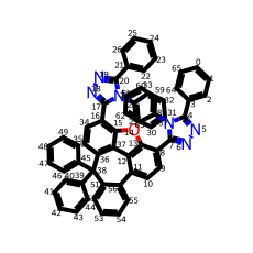 c1ccc(-c2nnc(-c3ccc4c5c3oc3c(-c6nnc(-c7ccccc7)n6-c6ccccc6)ccc(c35)C(c3ccccc3)(c3ccccc3)c3ccccc3-4)n2-c2ccccc2)cc1